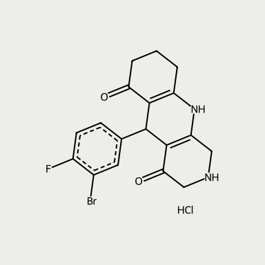 Cl.O=C1CCCC2=C1C(c1ccc(F)c(Br)c1)C1=C(CNCC1=O)N2